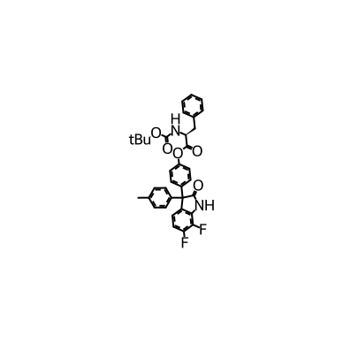 Cc1ccc(C2(c3ccc(OC(=O)[C@H](Cc4ccccc4)NC(=O)OC(C)(C)C)cc3)C(=O)Nc3c2ccc(F)c3F)cc1